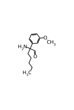 CCCCCC(N)(C=O)c1cccc(OC)c1